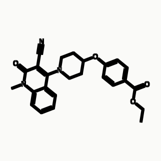 CCOC(=O)c1ccc(OC2CCN(c3c(C#N)c(=O)n(C)c4ccccc34)CC2)cc1